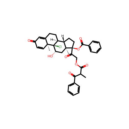 CC(C(=O)OCC(=O)[C@@]1(OC(=O)c2ccccc2)CC[C@H]2[C@@H]3CCC4=CC(=O)C=C[C@]4(C)[C@@]3(Cl)[C@@H](O)C[C@@]21C)C(=O)c1ccccc1